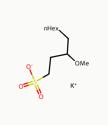 CCCCCCCC(CCS(=O)(=O)[O-])OC.[K+]